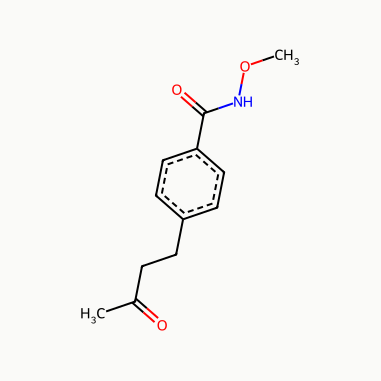 CONC(=O)c1ccc(CCC(C)=O)cc1